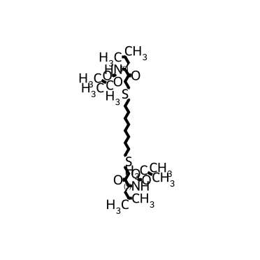 CC(C)C[C@H](NC(=O)OC(C)(C)C)C(=O)CCSCCCCCCCCCCSCCC(=O)[C@H](CC(C)C)NC(=O)OC(C)(C)C